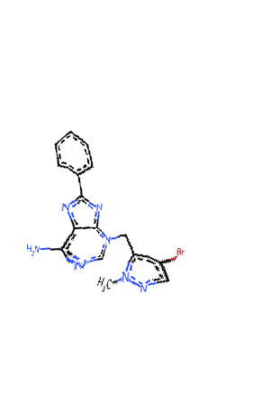 Cn1ncc(Br)c1Cn1cnc(N)c2nc(-c3ccccc3)nc1-2